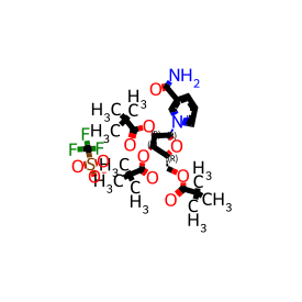 CC(C)(C)C(=O)OC[C@H]1O[C@@H]([n+]2cccc(C(N)=O)c2)[C@H](OC(=O)C(C)(C)C)[C@@H]1OC(=O)C(C)(C)C.O=S(=O)([O-])C(F)(F)F